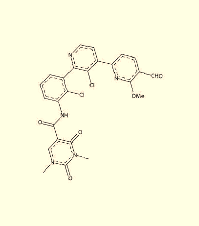 COc1nc(-c2ccnc(-c3cccc(NC(=O)c4cn(C)c(=O)n(C)c4=O)c3Cl)c2Cl)ccc1C=O